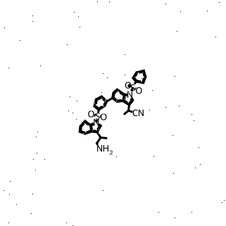 CC(C#N)c1cn(S(=O)(=O)c2ccccc2)c2ccc(-c3cccc(S(=O)(=O)n4cc(C(C)CN)c5ccccc54)c3)cc12